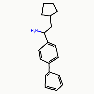 NC(CC1CCCC1)c1ccc(-c2ccccc2)cc1